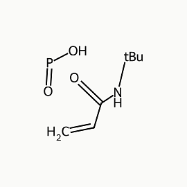 C=CC(=O)NC(C)(C)C.O=PO